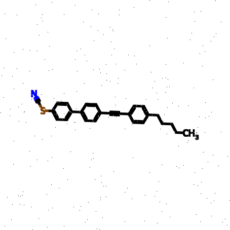 CCCCCc1ccc(C#Cc2ccc(-c3ccc(SC#N)cc3)cc2)cc1